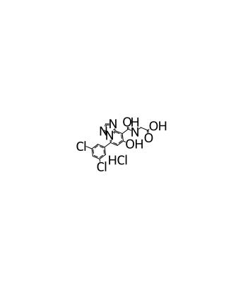 Cl.O=C(O)CNC(=O)c1c(O)cc(-c2cc(Cl)cc(Cl)c2)n2ncnc12